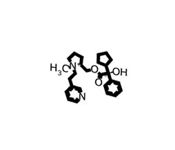 C[N+]1(CCc2cccnc2)CCCC1COC(=O)[C@](O)(c1ccccc1)C1CCCC1